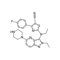 CCN(c1nc(-c2ccc(F)cc2)c(C#N)s1)c1c2nc(N3CCNCC3)ccc2nn1CC